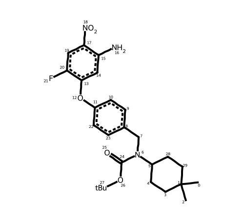 CC1(C)CCC(N(Cc2ccc(Oc3cc(N)c([N+](=O)[O-])cc3F)cc2)C(=O)OC(C)(C)C)CC1